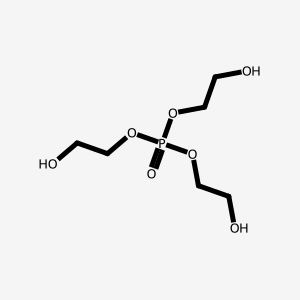 O=P(OCCO)(OCCO)OCCO